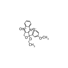 CCOC1(c2cccc(OC)c2)OCc2c1[n+]([O-])c1ccccc1[n+]2[O-]